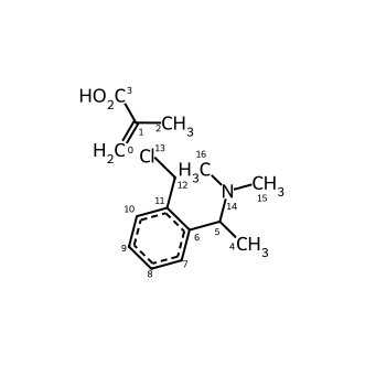 C=C(C)C(=O)O.CC(c1ccccc1CCl)N(C)C